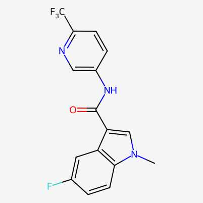 Cn1cc(C(=O)Nc2ccc(C(F)(F)F)nc2)c2cc(F)ccc21